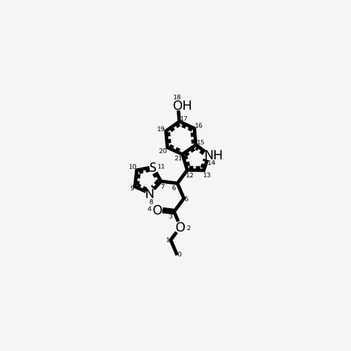 CCOC(=O)CC(c1nccs1)c1c[nH]c2cc(O)ccc12